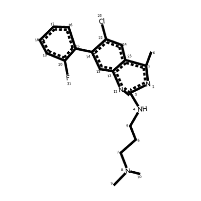 Cc1nc(NCCCN(C)C)nc2cc(-c3ccccc3F)c(Cl)cc12